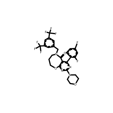 O=C1c2c(nc(N3CCOCC3)nc2-c2ccc(F)cc2F)OCCCN1Cc1cc(C(F)(F)F)cc(C(F)(F)F)c1